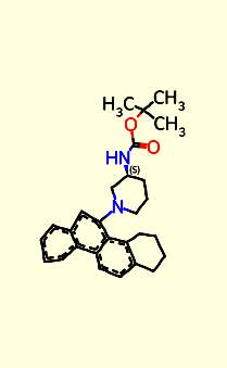 CC(C)(C)OC(=O)N[C@H]1CCCN(c2cc3ccccc3c3ccc4c(c23)CCCC4)C1